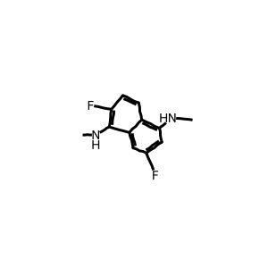 CNc1cc(F)cc2c(NC)c(F)ccc12